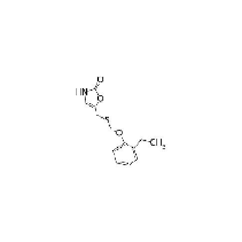 CCc1ccccc1OCSCc1c[nH]c(=O)o1